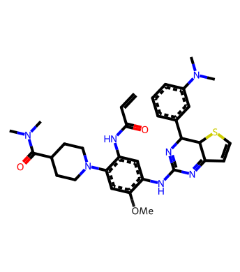 C=CC(=O)Nc1cc(NC2=NC(c3cccc(N(C)C)c3)C3SC=CC3=N2)c(OC)cc1N1CCC(C(=O)N(C)C)CC1